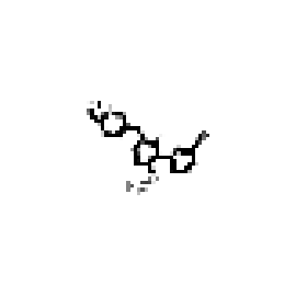 [CH2]Cc1ncc(Cc2ccc(OC)c(-c3cccc(C#N)c3)c2F)cn1